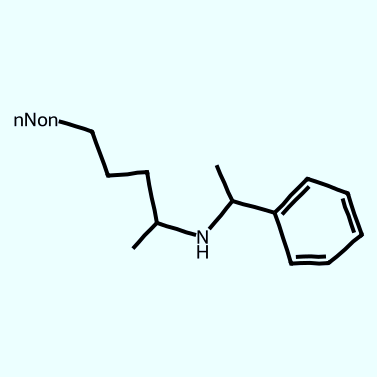 CCCCCCCCCCCCC(C)NC(C)c1ccccc1